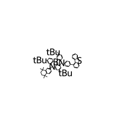 CC(C)(C)c1ccc2c(c1)B1c3ccc(C(C)(C)C)cc3N(c3ccc4c(c3)C(C)(C)CCC4(C)C)c3cc(C(C)(C)C)cc(c31)N2c1ccc(-c2cccc3sc4ccccc4c23)cc1